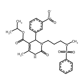 CC1=C(C(=O)OC(C)C)C(c2cccc([N+](=O)[O-])c2)N(CCCN(C)S(=O)(=O)c2ccccc2)C(=O)N1